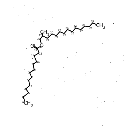 CCCCCCCCCCCCCC(=O)OCC(C)CCCCCCCCCCCCC